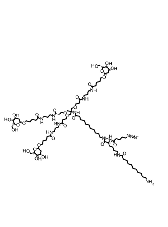 [N-]=[N+]=NCCCCC(=O)N[C@@H](CCCCNC(=O)CCCCCCCCCCN)C(=O)NCCCCCCCCCCC(=O)NC(COCCC(=O)NCCCNC(=O)CCCCO[C@H]1C[C@@H](O)[C@@H](O)[C@@H](CO)O1)(COCCC(=O)NCCCNC(=O)CCCCO[C@H]1C[C@@H](O)[C@@H](O)[C@@H](CO)O1)COCCC(=O)NCCCNC(=O)CCCCO[C@H]1C[C@@H](O)[C@@H](O)[C@@H](CO)O1